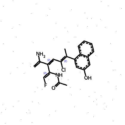 C=C(N)C(=C/C(Cl)=C(\C)c1cc(O)cc2ccccc12)/C(=C/F)NC(C)=O